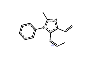 C=Cc1nc(C)n(-c2ccccc2)c1/C=C\C